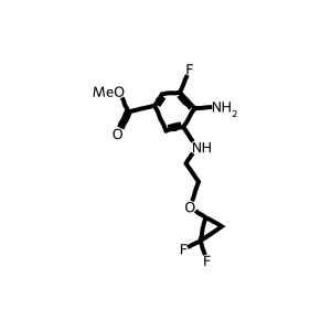 COC(=O)c1cc(F)c(N)c(NCCOC2CC2(F)F)c1